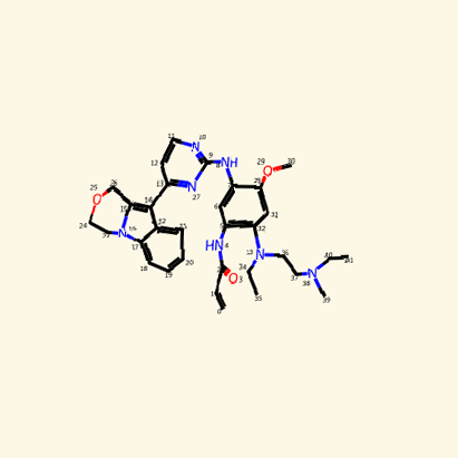 C=CC(=O)Nc1cc(Nc2nccc(-c3c4n(c5ccccc35)CCOC4)n2)c(OC)cc1N(CC)CCN(C)CC